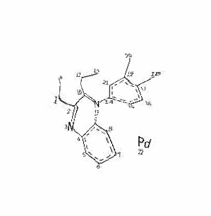 CCC(=Nc1ccccc1)C(CC)=Nc1ccc(C)c(C)c1.[Pd]